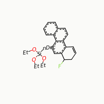 CCCCCCCCCC[Si](OCC)(OCC)OCC.FC1CC=Cc2c1ccc1c2ccc2ccccc21